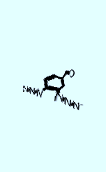 [N-]=[N+]=Nc1ccc(C=O)cc1N=[N+]=[N-]